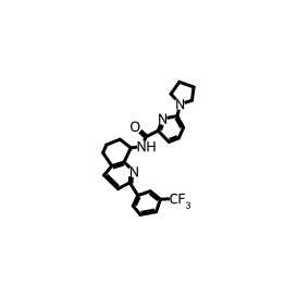 O=C(NC1CCCc2ccc(-c3cccc(C(F)(F)F)c3)nc21)c1cccc(N2CCCC2)n1